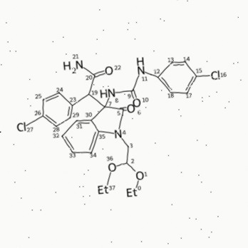 CCOC(CN1C(=O)C(NC(=O)Nc2ccc(Cl)cc2)(C(C(N)=O)c2ccc(Cl)cc2)c2ccccc21)OCC